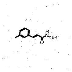 Cc1cccc(/C=C/C(=O)NO)c1